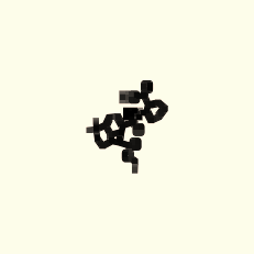 CCOC(=O)C1=c2c(C(=O)Nc3ccccc3C(=O)O)ccc3c2=C1CCC3(C)C